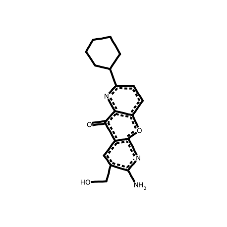 Nc1nc2oc3ccc(C4CCCCC4)nc3c(=O)c2cc1CO